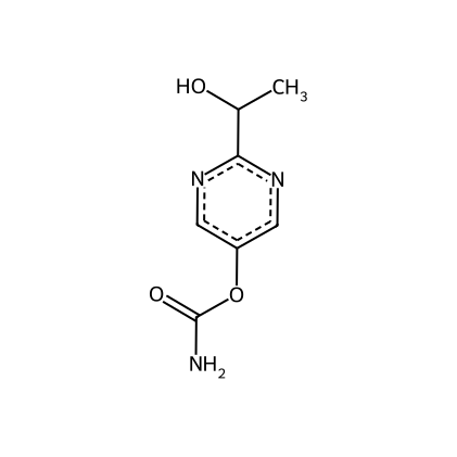 CC(O)c1ncc(OC(N)=O)cn1